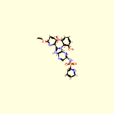 CCOc1cccc(-c2nc3ncc(NS(=O)(=O)c4ccccn4)nc3n2-c2c(OC)cccc2OC)n1